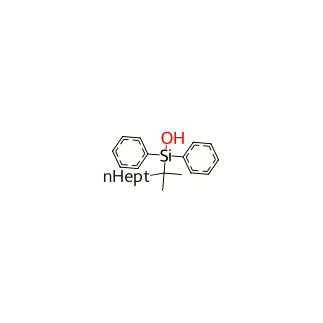 CCCCCCCC(C)(C)[Si](O)(c1ccccc1)c1ccccc1